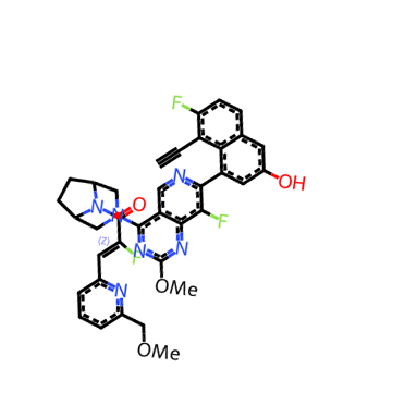 C#Cc1c(F)ccc2cc(O)cc(-c3ncc4c(N5CC6CCC(C5)N6C(=O)/C(F)=C/c5cccc(COC)n5)nc(OC)nc4c3F)c12